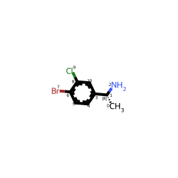 C[C@@H](N)c1ccc(Br)c(Cl)c1